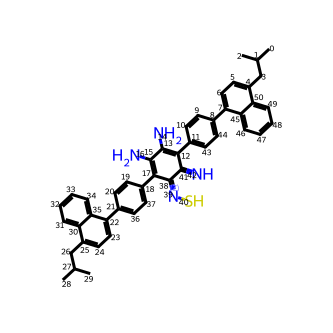 CC(C)Cc1ccc(-c2ccc(C3=C(N)C(N)=C(c4ccc(-c5ccc(CC(C)C)c6ccccc56)cc4)/C(=N/S)C3=N)cc2)c2ccccc12